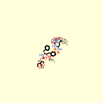 CO/C(=N\[N+](=O)O)NC(CCC(C)(C)C)NS(=O)(=O)c1ccc(OC)c(C[C@@H](O)[C@H](Cc2ccccc2)NC(=O)O[C@@H]2CO[C@@H]3OCC[C@@H]32)c1